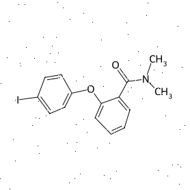 CN(C)C(=O)c1ccccc1Oc1ccc(I)cc1